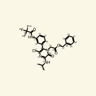 CC(C)Nc1nc(Cl)c(-c2cccc(NC(=O)C(F)(F)F)c2)n(CC(=O)OCc2ccccc2)c1=O